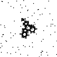 Nc1nc(Br)nn1-c1nc2cnccc2n1C1CCCCC1